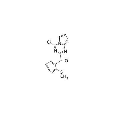 CSc1ccccc1C(=O)c1nc(Cl)n2cccc2n1